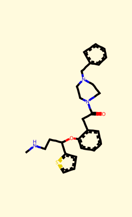 CNCCC(Oc1ccccc1CC(=O)N1CCN(Cc2ccccc2)CC1)c1cccs1